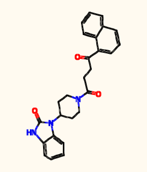 O=C(CCC(=O)N1CCC(n2c(=O)[nH]c3ccccc32)CC1)c1cccc2ccccc12